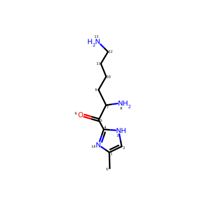 Cc1c[nH]c(C(=O)C(N)CCCCN)n1